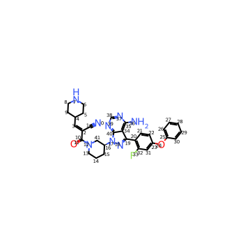 N#C/C(=C\C1CCNCC1)C(=O)N1CCC[C@H](n2nc(-c3ccc(Oc4ccccc4)cc3F)c3c(N)ncnc32)C1